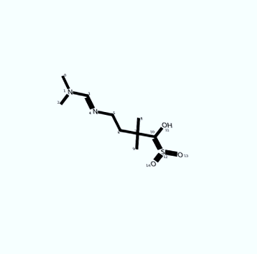 CN(C)C=NCCC(C)(C)C(O)=S(=O)=O